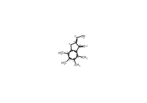 Cc1c(C)c(C)c2c(c1C)CC(=NO)C2=O